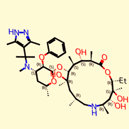 CC[C@H]1OC(=O)[C@H](C)[C@@H](O)[C@H](C)[C@@H](O[C@@H]2O[C@H](C)C[C@H](N(C)C(C)(C)c3c(C)n[nH]c3C)[C@H]2Oc2ccccc2)[C@](C)(O)C[C@@H](C)CN[C@H](C)[C@@H](O)[C@]1(C)O